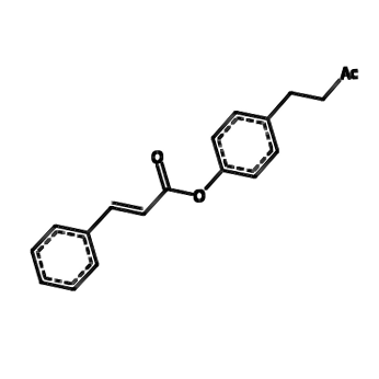 CC(=O)CCc1ccc(OC(=O)/C=C/c2ccccc2)cc1